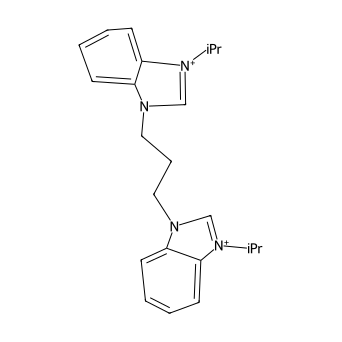 CC(C)[n+]1cn(CCCn2c[n+](C(C)C)c3ccccc32)c2ccccc21